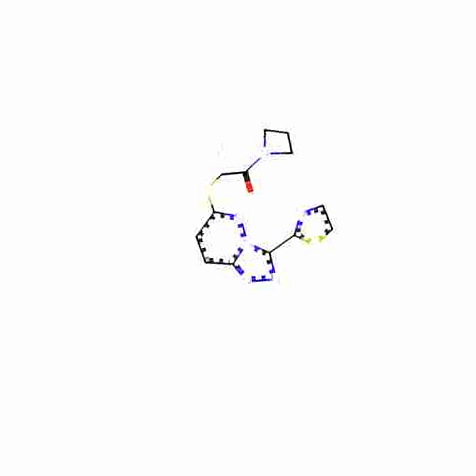 C[C@@H](Sc1ccc2nnc(-c3nccs3)n2n1)C(=O)N1CCC1